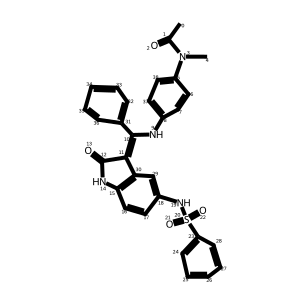 CC(=O)N(C)c1ccc(N/C(=C2/C(=O)Nc3ccc(NS(=O)(=O)c4ccccc4)cc32)c2ccccc2)cc1